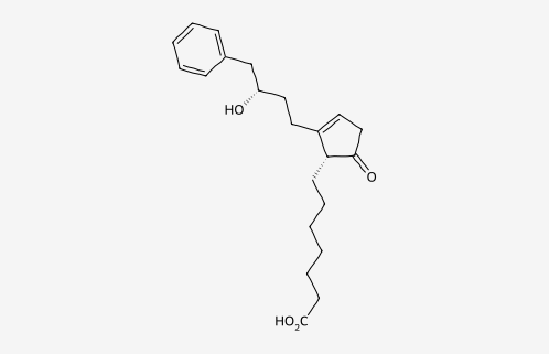 O=C(O)CCCCCC[C@H]1C(=O)CC=C1CC[C@H](O)Cc1ccccc1